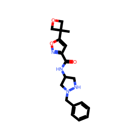 CC1(c2cc(C(=O)NC3CNN(Cc4ccccc4)C3)no2)COC1